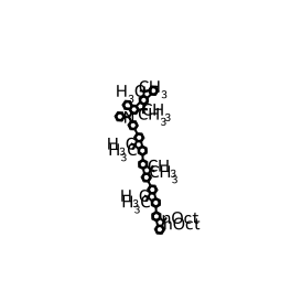 CCCCCCCCC1(CCCCCCCC)c2ccccc2-c2ccc(-c3ccc4c(c3)C(C)(C)c3cc(-c5ccc6c(c5)C(C)(C)c5cc(-c7ccc8c(c7)C(C)(C)c7cc(-c9ccc(N(c%10ccccc%10)c%10cc%11c(c%12ccccc%10%12)-c%10cc%12c(cc%10C%11(C)C)-c%10ccccc%10C%12(C)C)cc9)ccc7-8)ccc5-6)ccc3-4)cc21